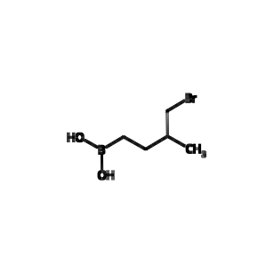 CC(CBr)CCB(O)O